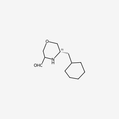 O=CC1COC[C@H](CC2CCCCC2)N1